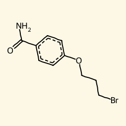 NC(=O)c1ccc(OCCCBr)cc1